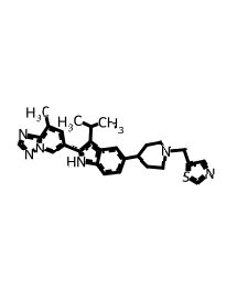 Cc1cc(-c2[nH]c3ccc(C4CCN(Cc5cncs5)CC4)cc3c2C(C)C)cn2ncnc12